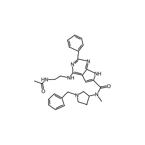 CC(=O)NCCNc1nc(-c2ccccc2)nc2[nH]c(C(=O)N(C)C3CCN(Cc4ccccc4)C3)cc12